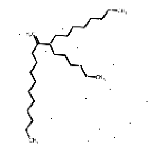 C=C(CCCCCCCCCC)C(CCCCCC)CCCCCCCC